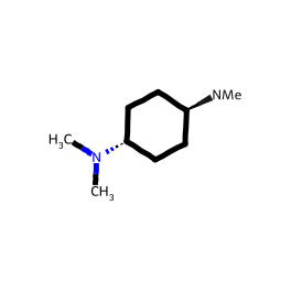 CN[C@H]1CC[C@H](N(C)C)CC1